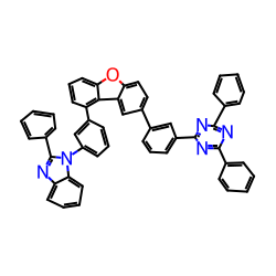 c1ccc(-c2nc(-c3ccccc3)nc(-c3cccc(-c4ccc5oc6cccc(-c7cccc(-n8c(-c9ccccc9)nc9ccccc98)c7)c6c5c4)c3)n2)cc1